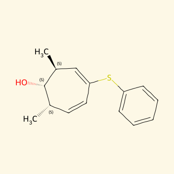 C[C@H]1C=CC(Sc2ccccc2)=C[C@H](C)[C@H]1O